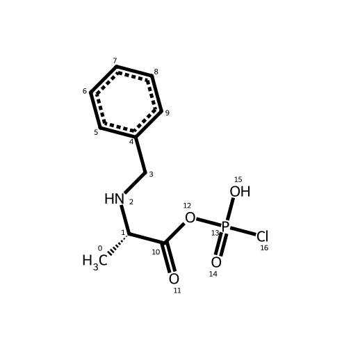 C[C@H](NCc1ccccc1)C(=O)OP(=O)(O)Cl